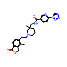 Cc1c(CCN2CCCC(C)(CNC(=O)c3ccc(-n4cnnn4)nc3)C2)ccc2c1COC2=O